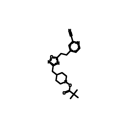 CC(C)(C)C(=O)ON1CCC(Cc2noc(CCc3ccnc(C#N)c3)n2)CC1